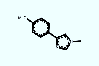 COc1ccc(-c2cn(C)cn2)cc1